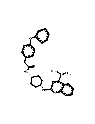 CN(C)c1cc(N[C@H]2CC[C@@H](NC(=O)Cc3ccc(Oc4ccccc4)cc3)CC2)nc2ccccc12